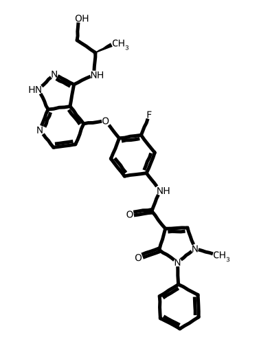 C[C@H](CO)Nc1n[nH]c2nccc(Oc3ccc(NC(=O)c4cn(C)n(-c5ccccc5)c4=O)cc3F)c12